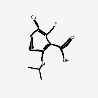 CC(C)Oc1ccc(Cl)c(F)c1C(=O)O